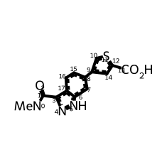 CNC(=O)c1n[nH]c2cc(-c3csc(C(=O)O)c3)ccc12